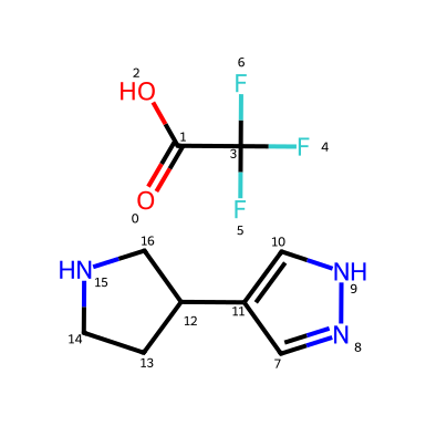 O=C(O)C(F)(F)F.c1n[nH]cc1C1CCNC1